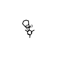 Cc1cc(C)c(C(=O)P2(=S)C3CCCCC2CC3)c(C)c1